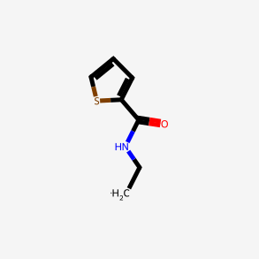 [CH2]CNC(=O)c1cccs1